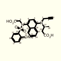 C#CCN(c1ccc(N(CC(=O)O)S(=O)(=O)c2ccccc2OC)c2ccccc12)[C@@H](C)CC(=O)O